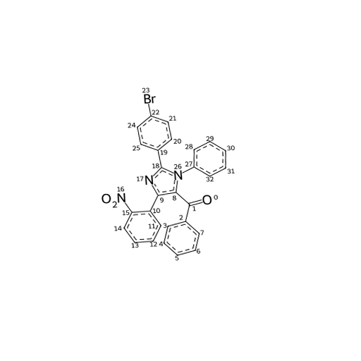 O=C(c1ccccc1)c1c(-c2ccccc2[N+](=O)[O-])nc(-c2ccc(Br)cc2)n1-c1ccccc1